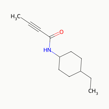 CC#CC(=O)NC1CCC(CC)CC1